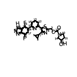 O=C(OCc1nc(C2CC2)c(-c2cccc(-c3cc(F)c4nn[nH]c4c3F)n2)s1)N1CCC(O)C1